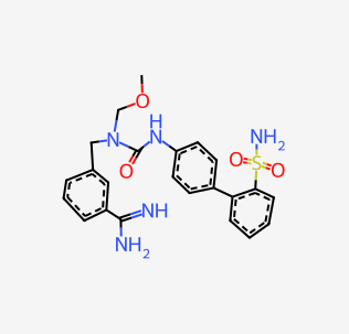 COCN(Cc1cccc(C(=N)N)c1)C(=O)Nc1ccc(-c2ccccc2S(N)(=O)=O)cc1